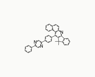 CC1(C)c2ccccc2-c2nc3ccc4ccccc4c3c(-c3ccc(-c4cnc(-c5ccccc5)cn4)cc3)c21